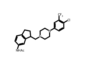 CC(=O)Nc1ccc2c(c1)C(CN1CCN(c3ccc(Cl)c(C(F)(F)F)c3)CC1)CC2